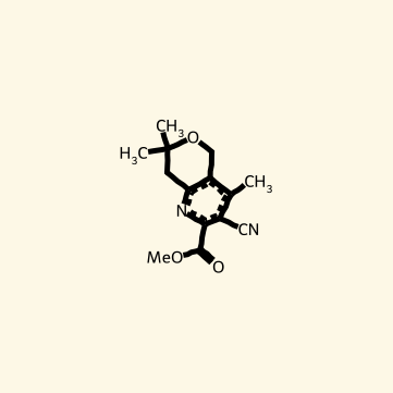 COC(=O)c1nc2c(c(C)c1C#N)COC(C)(C)C2